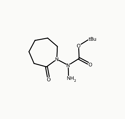 CC(C)(C)OC(=O)N(N)N1CCCCCC1=O